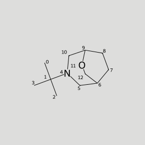 CC(C)(C)N1CC2CCC(C1)OC2